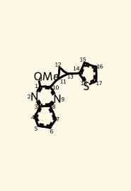 COc1nc2ccccc2nc1C1CC1c1cccs1